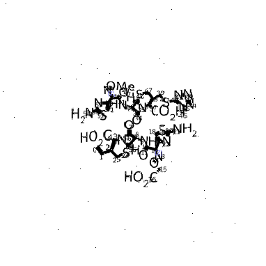 C=CC1=C(C(=O)O)N2C(=O)[C@@H](NC(=O)/C(=N\OCC(=O)O)c3csc(N)n3)[C@H]2SC1.CO/N=C(\C(=O)N[C@@H]1C(=O)N2C(C(=O)O)=C(CSc3nnnn3C)CS[C@H]12)c1csc(N)n1